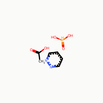 CC(=O)O.O=[PH](O)O.c1ccnnc1